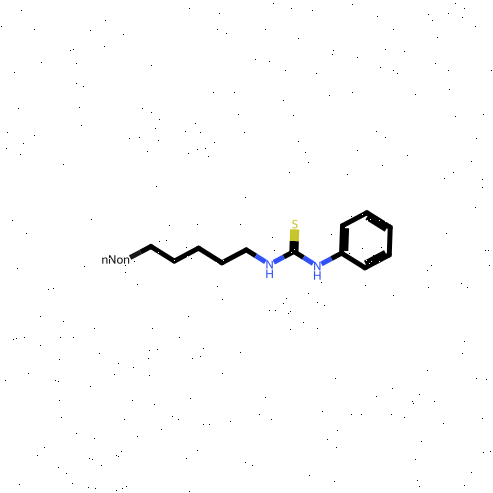 CCCCCCCCCCCCCCNC(=S)Nc1ccccc1